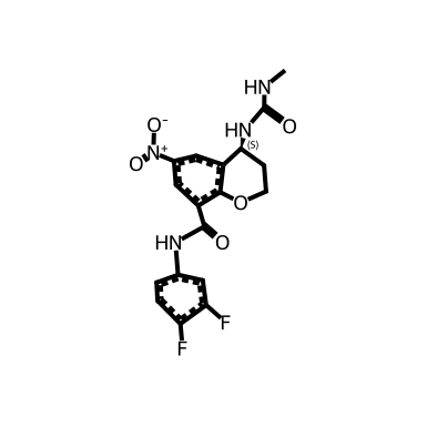 CNC(=O)N[C@H]1CCOc2c(C(=O)Nc3ccc(F)c(F)c3)cc([N+](=O)[O-])cc21